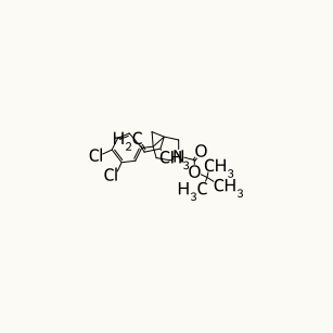 C=CC(C)C12CN(C(=O)OC(C)(C)C)CCC1(c1ccc(Cl)c(Cl)c1)C2